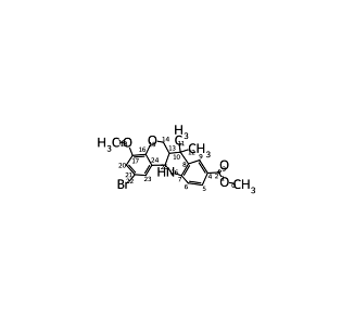 COC(=O)c1ccc2c(c1)C(C)(C)C1COc3c(OC)cc(Br)cc3C1N2